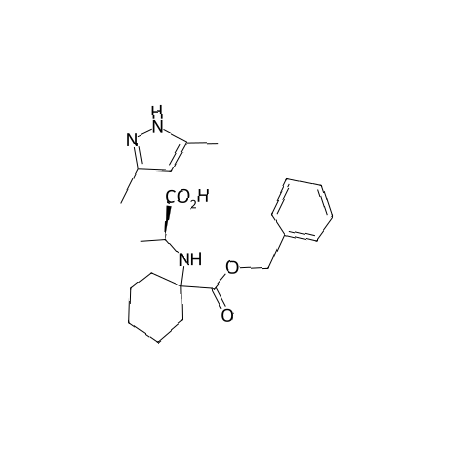 C[C@H](NC1(C(=O)OCc2ccccc2)CCCCC1)C(=O)O.Cc1cc(C)[nH]n1